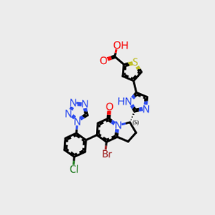 O=C(O)c1cc(-c2cnc([C@@H]3CCc4c(Br)c(-c5cc(Cl)ccc5-n5cnnn5)cc(=O)n43)[nH]2)cs1